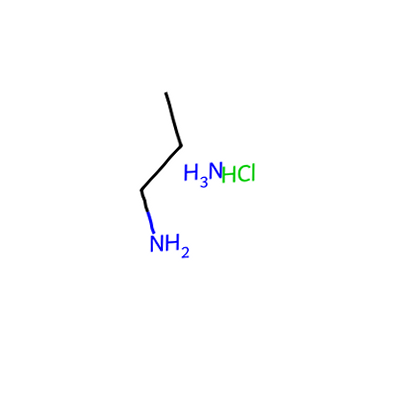 CCCN.Cl.N